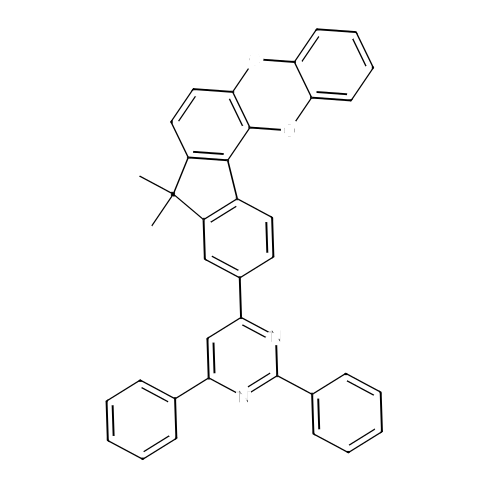 CC1(C)c2cc(-c3cc(-c4ccccc4)nc(-c4ccccc4)n3)ccc2-c2c1ccc1c2Oc2ccccc2O1